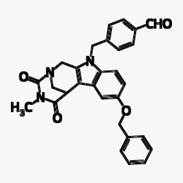 CN1C(=O)C2CN(Cc3c2c2cc(OCc4ccccc4)ccc2n3Cc2ccc(C=O)cc2)C1=O